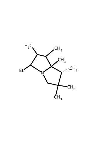 CCC1C(C)C(C)C2(C)[C@H](C)C(C)(C)CN12